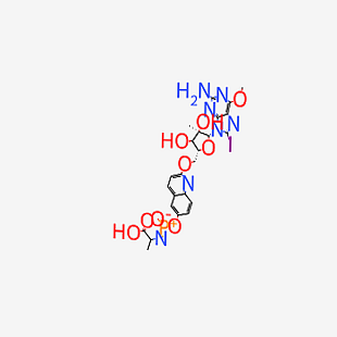 COc1nc(N)nc2c1nc(I)n2[C@@H]1O[C@H](COc2ccc3cc(O/[P+]([O-])=N/C(C)C(=O)O)ccc3n2)[C@@H](O)[C@@]1(C)O